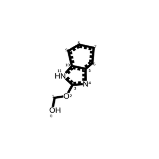 OCOc1nc2ccccc2[nH]1